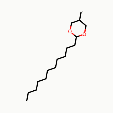 [CH2]C1COC(CCCCCCCCCCC)OC1